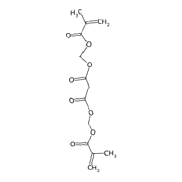 C=C(C)C(=O)OCOC(=O)CC(=O)OCOC(=O)C(=C)C